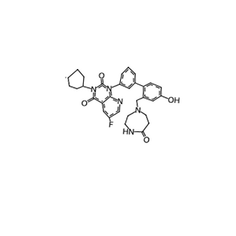 O=C1CCN(Cc2cc(O)ccc2-c2cccc(-n3c(=O)n(C4CC[CH]CC4)c(=O)c4cc(F)cnc43)c2)CCN1